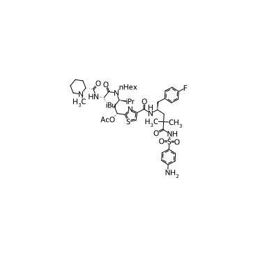 CCCCCCN(C(=O)[C@@H](NC(=O)[C@H]1CCCCN1C)[C@@H](C)CC)[C@H](C[C@@H](OC(C)=O)c1nc(C(=O)N[C@@H](Cc2ccc(F)cc2)CC(C)(C)C(=O)NS(=O)(=O)c2ccc(N)cc2)cs1)C(C)C